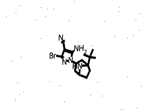 CC(C)(C)C12CCC(CC(n3nc(Br)c(C#N)c3N)C1)N2